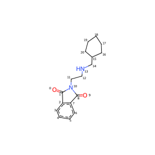 O=C1c2ccccc2C(=O)N1CCNCC1CCCCC1